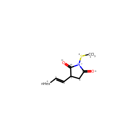 CCCCCCC=CC1CC(=O)N(SC(Cl)(Cl)Cl)C1=O